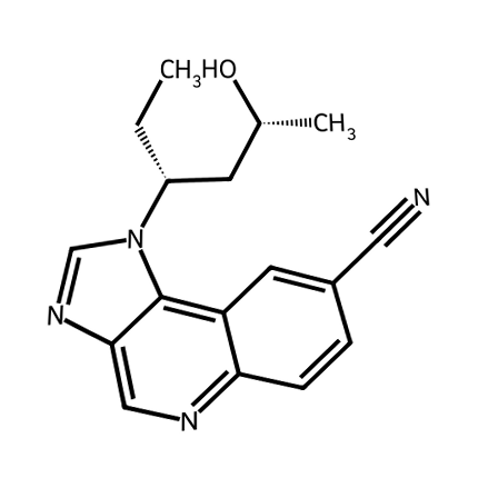 CC[C@H](C[C@@H](C)O)n1cnc2cnc3ccc(C#N)cc3c21